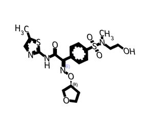 Cc1cnc(NC(=O)/C(=N/O[C@@H]2CCOC2)c2ccc(S(=O)(=O)N(C)CCO)cc2)s1